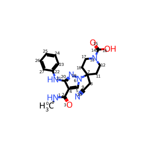 CNC(=O)c1cn(C2(CC#N)CCN(C(=O)O)CC2)nc1Nc1ccccc1